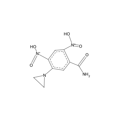 NC(=O)c1cc(N2CC2)c([N+](=O)O)cc1[N+](=O)O